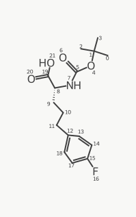 CC(C)(C)OC(=O)N[C@H](CCCc1ccc(F)cc1)C(=O)O